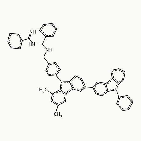 Cc1cc(C)c2c(c1)c1cc(-c3ccc4c(c3)c3ccccc3n4-c3ccccc3)ccc1n2-c1ccc(CNC(NC(=N)c2ccccc2)c2ccccc2)cc1